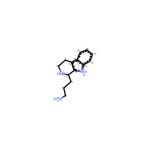 NCCCC1NCCc2c1[nH]c1ccccc21